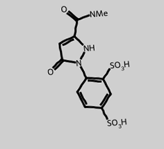 CNC(=O)c1cc(=O)n(-c2ccc(S(=O)(=O)O)cc2S(=O)(=O)O)[nH]1